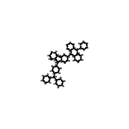 c1ccc(-c2c3ccccc3c(-c3ccc4c(c3)c3cccnc3n4-c3ccc(N(c4ccccc4)c4ccccc4)cc3)c3ccccc23)cc1